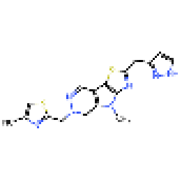 Cn1c2c(c3sc(Cc4cc[nH]n4)nc31)C=NN(Cc1nc(C#N)cs1)C2